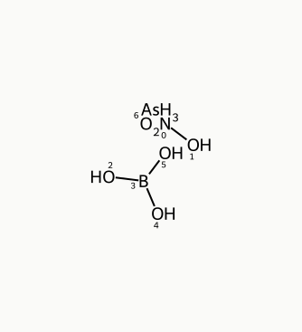 O=[N+]([O-])O.OB(O)O.[AsH3]